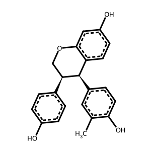 Cc1cc([C@@H]2c3ccc(O)cc3OC[C@@H]2c2ccc(O)cc2)ccc1O